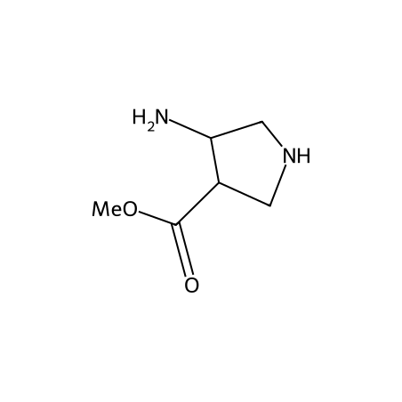 COC(=O)C1CNCC1N